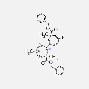 C[C@H]1/C=C\C(C2=CC(C)(C(=O)OCc3ccccc3)C=C(F)C=C2)=C/C(C)(C(=O)OCc2ccccc2)/C=C\1